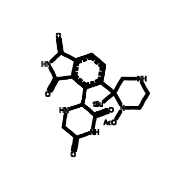 CC(=O)ON1CCNCC1(c1ccc2c(c1C1NCC(=O)NC1=O)C(=O)NC2=O)C(C)(C)C